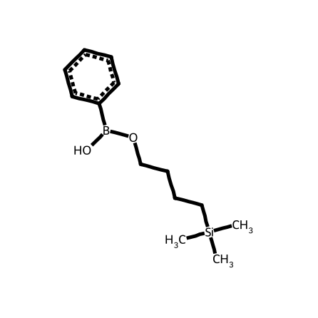 C[Si](C)(C)CCCCOB(O)c1ccccc1